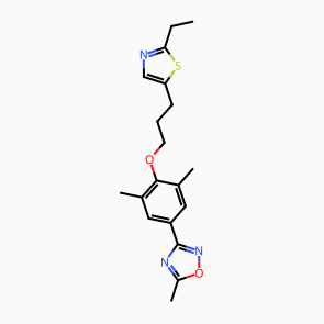 CCc1ncc(CCCOc2c(C)cc(-c3noc(C)n3)cc2C)s1